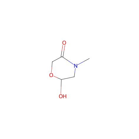 CN1CC(O)OCC1=O